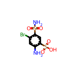 Nc1cc(Br)c(S(N)(=O)=O)cc1S(=O)(=O)O